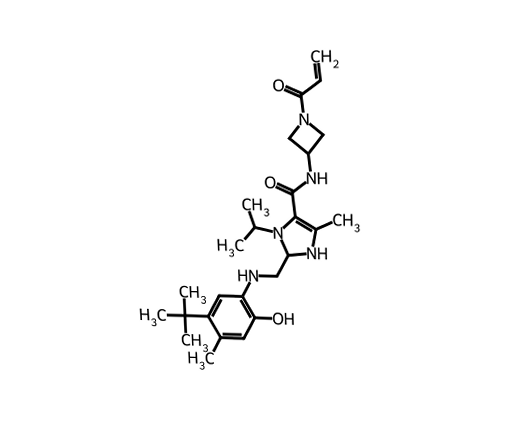 C=CC(=O)N1CC(NC(=O)C2=C(C)NC(CNc3cc(C(C)(C)C)c(C)cc3O)N2C(C)C)C1